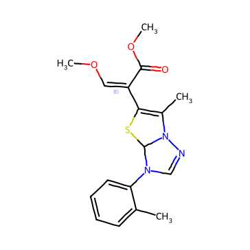 CO/C=C(\C(=O)OC)C1=C(C)N2N=CN(c3ccccc3C)C2S1